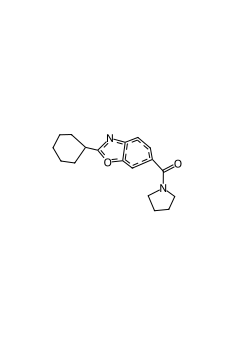 O=C(c1ccc2nc(C3CCCCC3)oc2c1)N1CCCC1